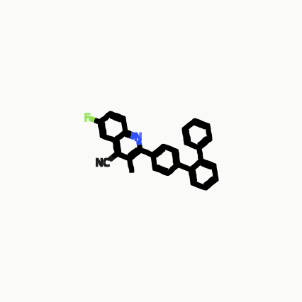 Cc1c(-c2ccc(-c3ccccc3-c3ccccc3)cc2)nc2ccc(F)cc2c1C#N